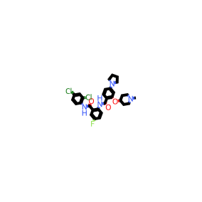 CN1CCC(Oc2cc(N3CCCC3)ccc2C(=O)Nc2ccc(F)cc2C(=O)Nc2ccc(Cl)cc2Cl)CC1